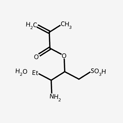 C=C(C)C(=O)OC(CS(=O)(=O)O)C(N)CC.O